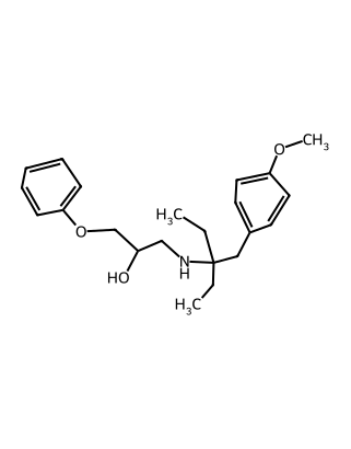 CCC(CC)(Cc1ccc(OC)cc1)NCC(O)COc1ccccc1